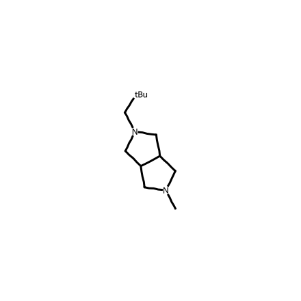 CN1CC2CN(CC(C)(C)C)CC2C1